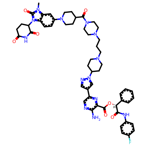 Cn1c(=O)n(C2CCC(=O)NC2=O)c2ccc(N3CCC(C(=O)N4CCN(CCCN5CCC(n6cc(-c7cnc(N)c(C(=O)O[C@@H](C(=O)Nc8ccc(F)cc8)c8ccccc8)n7)cn6)CC5)CC4)CC3)cc21